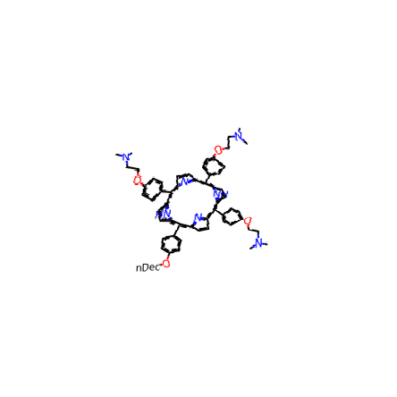 CCCCCCCCCCOc1ccc(-c2c3nc(c(-c4ccc(OCCN(C)C)cc4)c4ccc([nH]4)c(-c4ccc(OCCN(C)C)cc4)c4nc(c(-c5ccc(OCCN(C)C)cc5)c5ccc2[nH]5)C=C4)C=C3)cc1